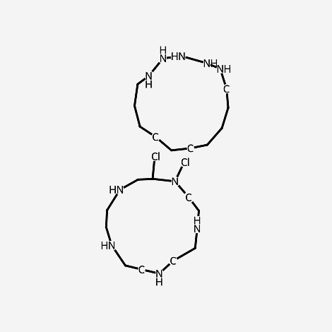 C1CCCCCNNNNNCCCC1.ClC1CNCCNCCNCCNCCN1Cl